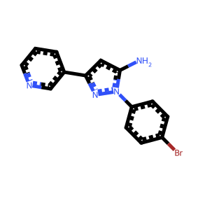 Nc1cc(-c2cccnc2)nn1-c1ccc(Br)cc1